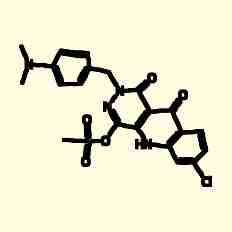 CN(C)c1ccc(Cn2nc(OS(C)(=O)=O)c3[nH]c4cc(Cl)ccc4c(=O)c3c2=O)cc1